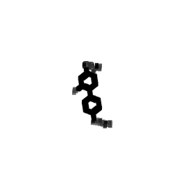 CCCCCCCc1ccc(-c2ccc(C(=O)O)cc2F)cc1